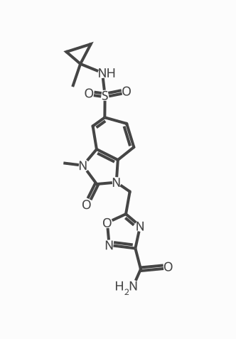 Cn1c(=O)n(Cc2nc(C(N)=O)no2)c2ccc(S(=O)(=O)NC3(C)CC3)cc21